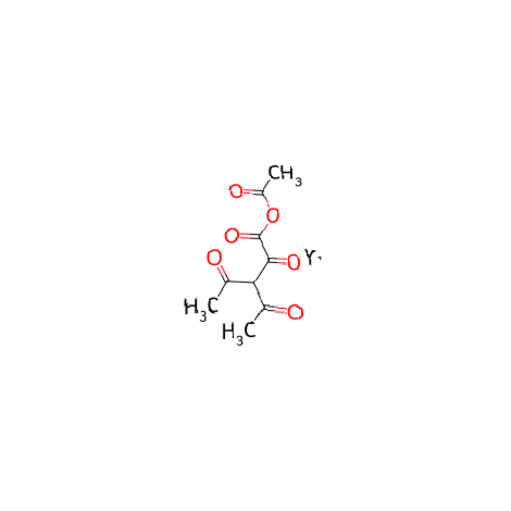 CC(=O)OC(=O)C(=O)C(C(C)=O)C(C)=O.[Y]